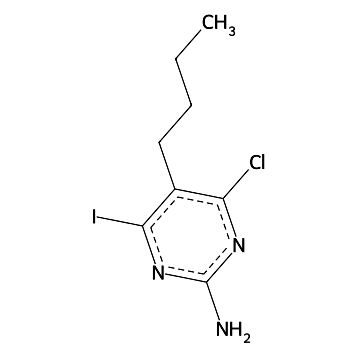 CCCCc1c(Cl)nc(N)nc1I